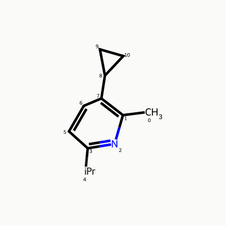 Cc1nc(C(C)C)ccc1C1CC1